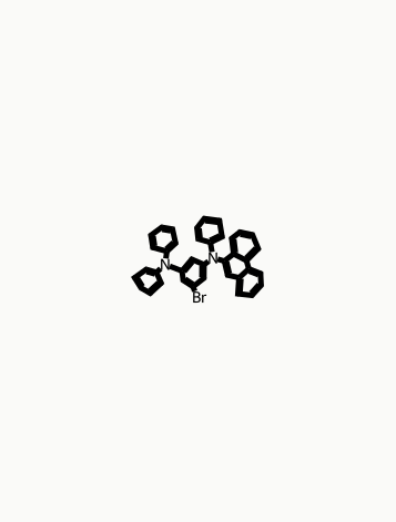 Brc1cc(N(c2ccccc2)c2ccccc2)cc(N(c2ccccc2)c2cc3ccccc3c3ccccc23)c1